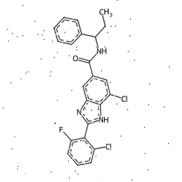 CCC(NC(=O)c1cc(Cl)c2[nH]c(-c3c(F)cccc3Cl)nc2c1)c1ccccc1